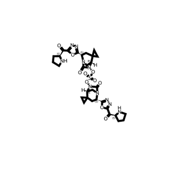 O=C(c1nnc([C@@H]2CC3(CC3)[C@@H]3CN2C(=O)N3OS(=O)(=O)ON2C(=O)N3C[C@H]2C2(CC2)C[C@H]3c2nnc(C(=O)[C@@H]3CCCN3)o2)o1)[C@@H]1CCCN1